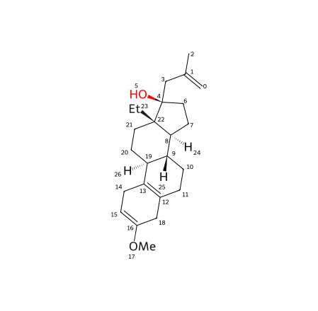 C=C(C)C[C@]1(O)CC[C@H]2[C@@H]3CCC4=C(CC=C(OC)C4)[C@H]3CC[C@@]21CC